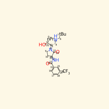 CCC[C@H](O)[C@H](CNCC(C)(C)C)N1CC[C@H](NC(=O)c2cccc(C(F)(F)F)c2)C1=O